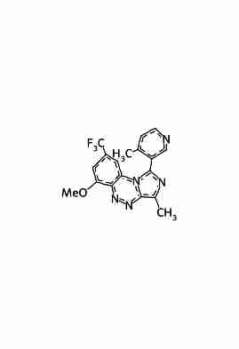 COc1cc(C(F)(F)F)cc2c1nnc1c(C)nc(-c3cnccc3C)n12